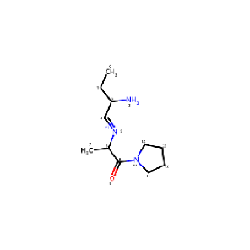 CCC(N)/C=N/C(C)C(=O)N1CCCC1